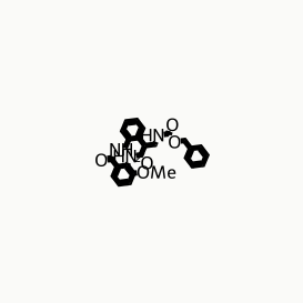 COc1cccc(C(N)=O)c1NC(=O)C(CNC(=O)OCc1ccccc1)c1ccccc1C